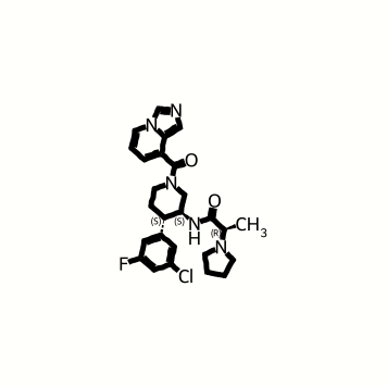 C[C@H](C(=O)N[C@@H]1CN(C(=O)c2cccn3cncc23)CC[C@H]1c1cc(F)cc(Cl)c1)N1CCCC1